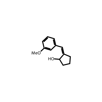 COc1cccc(C=C2CCCC2O)c1